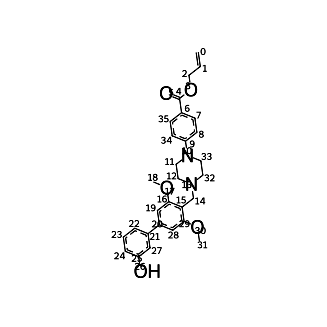 C=CCOC(=O)c1ccc(N2CCN(Cc3c(OC)cc(-c4cccc(O)c4)cc3OC)CC2)cc1